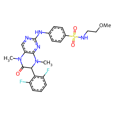 COCCNS(=O)(=O)c1ccc(Nc2ncc3c(n2)N(C)C(c2c(F)cccc2F)C(=O)N3C)cc1